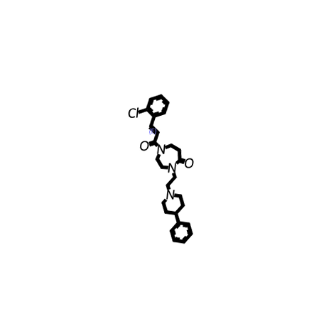 O=C(/C=C/c1ccccc1Cl)N1CCC(=O)N(CCN2CCC(c3ccccc3)CC2)CC1